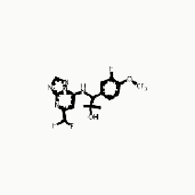 CC(C)(O)C(Nc1cc(C(F)F)nc2ncnn12)c1ccc(OC(F)(F)F)c(F)c1